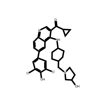 O=C(c1cnc2ccc(-c3cc(Cl)c(O)c(Cl)c3)cc2c1NC1CCC(CN2CCC(O)C2)CC1)C1CC1